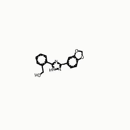 OCc1ccccc1-c1nc(-c2ccc3c(c2)OCO3)n[nH]1